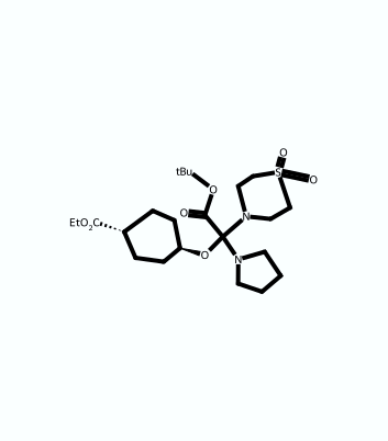 CCOC(=O)[C@H]1CC[C@H](OC(C(=O)OC(C)(C)C)(N2CCCC2)N2CCS(=O)(=O)CC2)CC1